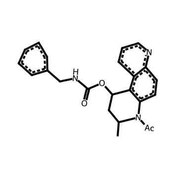 CC(=O)N1c2ccc3ncccc3c2C(OC(=O)NCc2ccccc2)CC1C